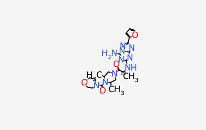 CC1CN(C(=O)[C@H](C)Nc2nc(N)n3nc(-c4ccco4)nc3n2)CC(C)N1C(=O)N1CCOCC1